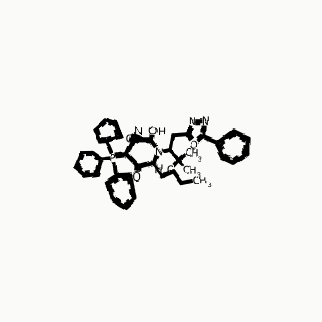 CCCC[C@@H](C(=O)C(C#N)=P(c1ccccc1)(c1ccccc1)c1ccccc1)N(C(=O)O)C(Cc1nnc(-c2ccccc2)o1)C(C)(C)C